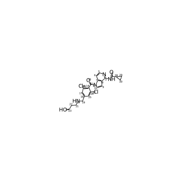 O=C(Nc1nccc2c1ccn2C(=O)c1c(Cl)cc(CNCCCO)cc1Cl)C1CC1